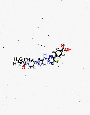 CC(C)(C)C(=O)N1CCC(n2cc(Nc3ncc(F)c(-c4ccc(C(=O)O)cc4)n3)cn2)CC1